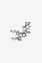 Cc1cc(-c2c(-c3ccc4c(c3)CN(C3CCC(=O)NC3=O)C4=O)cnn2C)c(C)s1